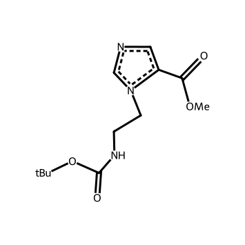 COC(=O)c1cncn1CCNC(=O)OC(C)(C)C